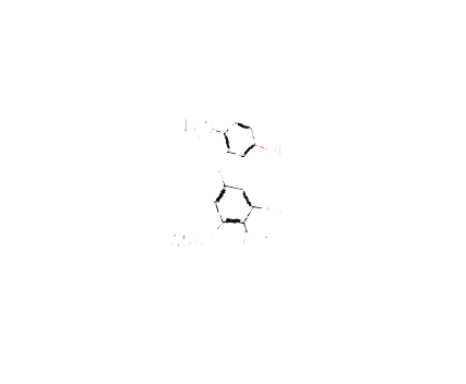 COc1cc(Oc2cc(O)ccc2N)cc(C)c1C